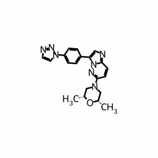 C[C@@H]1CN(c2ccc3ncc(-c4ccc(-n5ccnn5)cc4)n3n2)C[C@H](C)O1